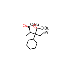 CC(C)COC(=O)C(C)C(CC(C)C)(C(=O)OCC(C)C)C1CCCCC1